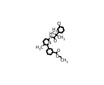 CCOC(=O)c1cccc(-c2nc(NC(=O)C(C)(C)c3cccc(Cl)c3)ccc2C)c1